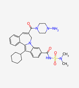 CN(C)S(=O)(=O)NC(=O)c1ccc2c(C3CCCCC3)c3n(c2c1)CC(C(=O)N1CCN(N)CC1)=Cc1ccccc1-3